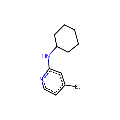 CCc1ccnc(NC2CCCCC2)c1